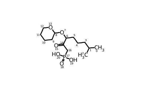 CC(C)CCCC(OC1CCCCO1)C(=O)CP(=O)(O)O